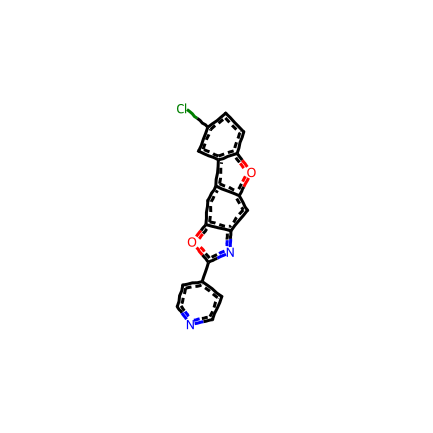 Clc1ccc2oc3cc4nc(-c5ccncc5)oc4cc3c2c1